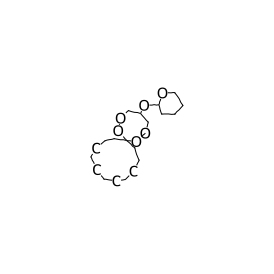 C1CCCCCC2(CCCCC1)OOCC(OC1CCCCO1)COO2